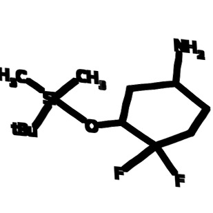 CC(C)(C)[Si](C)(C)OC1CC(N)CCC1(F)F